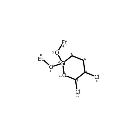 CCO[Si]1(OCC)CCC(Cl)C(Cl)O1